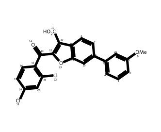 COc1cccc(-c2ccc3c(C(=O)O)c(C(=O)c4ccc(Cl)cc4Cl)oc3c2)c1